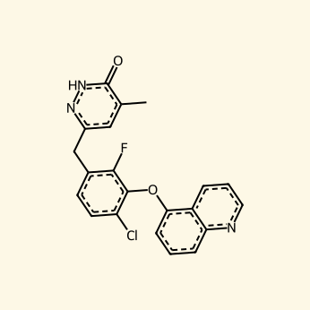 Cc1cc(Cc2ccc(Cl)c(Oc3cccc4ncccc34)c2F)n[nH]c1=O